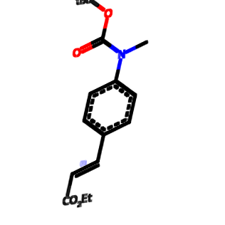 CCOC(=O)/C=C/c1ccc(N(C)C(=O)OC(C)(C)C)cc1